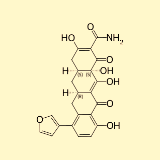 NC(=O)C1=C(O)C[C@@H]2C[C@@H]3Cc4c(-c5ccoc5)ccc(O)c4C(=O)C3=C(O)[C@]2(O)C1=O